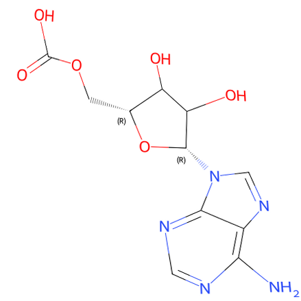 Nc1ncnc2c1ncn2[C@@H]1O[C@H](COC(=O)O)C(O)C1O